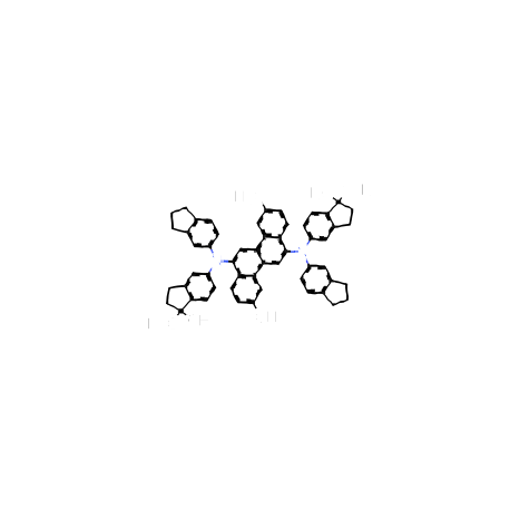 Cc1ccc2c(N(c3ccc4c(c3)CCC4)c3ccc4c(c3)CCC4(C)C)cc3c4cc(C)ccc4c(N(c4ccc5c(c4)CCC5)c4ccc5c(c4)CCC5(C)C)cc3c2c1